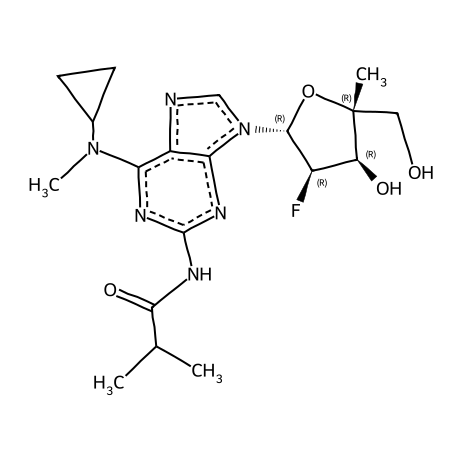 CC(C)C(=O)Nc1nc(N(C)C2CC2)c2ncn([C@@H]3O[C@](C)(CO)[C@@H](O)[C@H]3F)c2n1